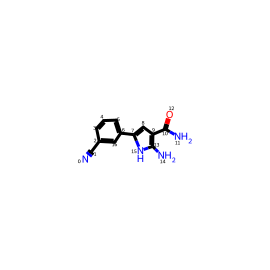 N#Cc1cccc(-c2cc(C(N)=O)c(N)[nH]2)c1